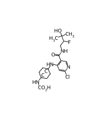 CC(C)(O)C(F)CNC(=O)c1cnc(Cl)cc1NC12CCC(NC(=O)O)(CC1)CC2